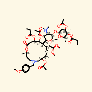 CCC(=O)O[C@@H]1CC(=O)O[C@H](C)CCN(Cc2ccc(OC)cc2)C[C@H](OC(C)=O)[C@H](C)C[C@H](CC(OC)OC)[C@H]([C@@H]2O[C@H](C)[C@@H](O[C@@H]3C[C@@](C)(OC(C)=O)[C@@H](OC(=O)CC)[C@H](C)O3)[C@H](N(C)C)[C@H]2OC(C)=O)[C@@H]1OC